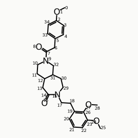 COc1ccc(CC(=O)N2CCC3CC(=O)N(CCc4cccc(OC)c4OC)CCC3C2)cc1